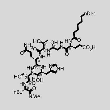 CCCCCCCCCCCCCCCC(=O)N[C@@H](CCC(=O)O)C(=O)NC[C@@H](O)N[C@H](C(=O)N[C@@H](CCC(N)=O)[C@H](O)N[C@@H](Cc1c[nH]cn1)[C@H](O)N[C@@H](CO)[C@H](O)N[C@@H](CCCC)C(=O)NC)[C@H](C)O